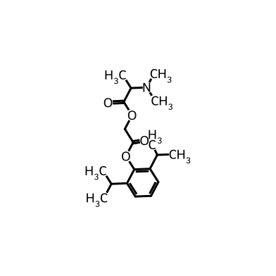 CC(C)c1cccc(C(C)C)c1OC(=O)COC(=O)C(C)N(C)C